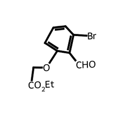 CCOC(=O)COc1cccc(Br)c1C=O